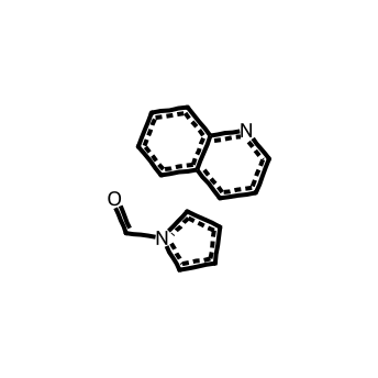 O=Cn1cccc1.c1ccc2ncccc2c1